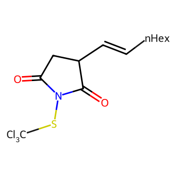 CCCCCC/C=C/C1CC(=O)N(SC(Cl)(Cl)Cl)C1=O